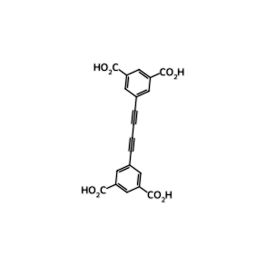 O=C(O)c1cc(C#CC#Cc2cc(C(=O)O)cc(C(=O)O)c2)cc(C(=O)O)c1